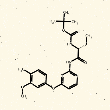 CC[C@@H](NC(=O)OC(C)(C)C)C(=O)Nc1nccc(Oc2ccc(C)c(OC)c2)n1